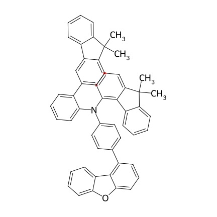 CC1(C)c2ccccc2-c2cc(-c3ccccc3N(c3ccc(-c4cccc5oc6ccccc6c45)cc3)c3cccc4c3-c3ccccc3C4(C)C)ccc21